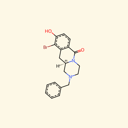 O=C1c2ccc(O)c(Br)c2C[C@@H]2CN(Cc3ccccc3)CCN12